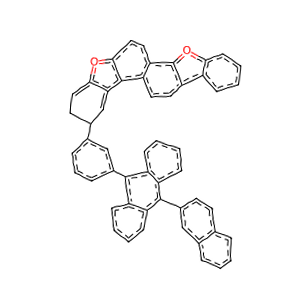 C1=c2oc3ccc4c(ccc5c6ccccc6oc54)c3c2=CC(c2cccc(-c3c4ccccc4c(-c4ccc5ccccc5c4)c4ccccc34)c2)C1